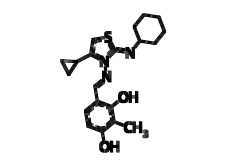 Cc1c(O)ccc(/C=N/n2c(C3CC3)cs/c2=N\C2CCCCC2)c1O